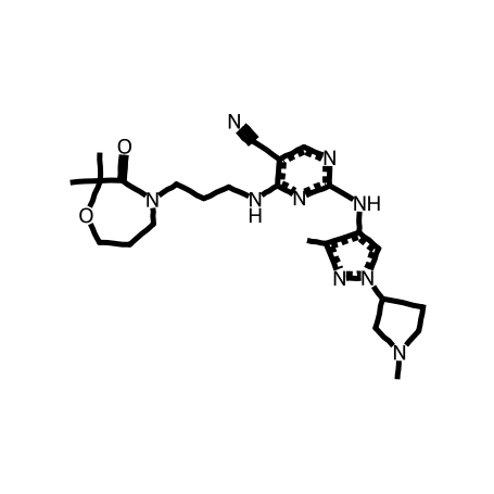 Cc1nn(C2CCN(C)C2)cc1Nc1ncc(C#N)c(NCCCN2CCCOC(C)(C)C2=O)n1